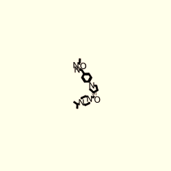 Cc1nnc(-c2ccc(N3CC[C@H](C(=O)N4CCN(C(C)C)CC4)C3)cc2)o1